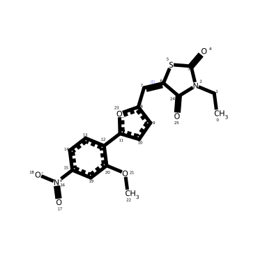 CCN1C(=O)S/C(=C/c2ccc(-c3ccc([N+](=O)[O-])cc3OC)o2)C1=O